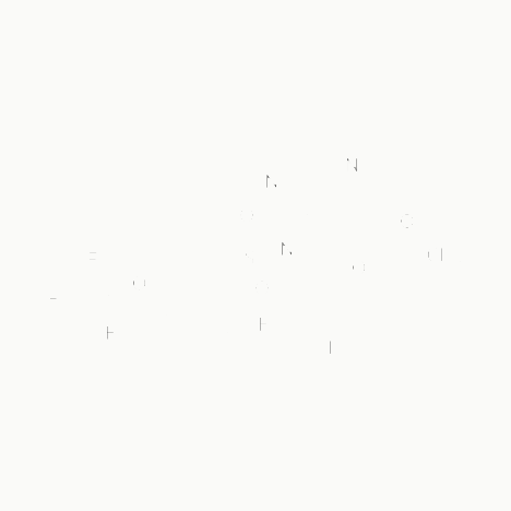 COC(=O)c1nccnc1N(CC(F)F)S(=O)(=O)Cc1ccccc1OC(F)(F)F